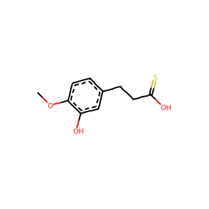 COc1ccc(CCC(O)=S)cc1O